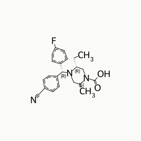 CC[C@@H]1CN(C(=O)O)[C@@H](C)CN1[C@@H](c1ccc(F)cc1)c1ccc(C#N)cc1